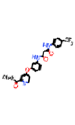 CNC(=O)c1cc(Oc2cccc(NC(=O)CC(=O)Nc3ccc(C(F)(F)F)cc3)c2)ccn1